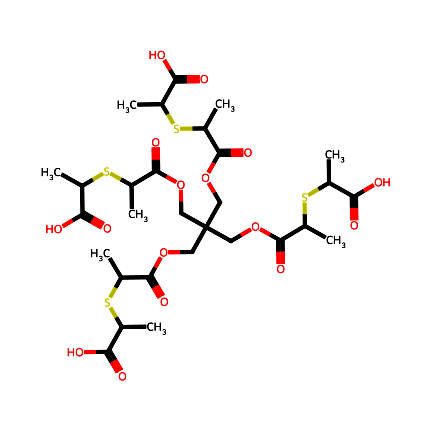 CC(SC(C)C(=O)OCC(COC(=O)C(C)SC(C)C(=O)O)(COC(=O)C(C)SC(C)C(=O)O)COC(=O)C(C)SC(C)C(=O)O)C(=O)O